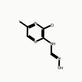 O/N=C/Nc1ncc(I)nc1Cl